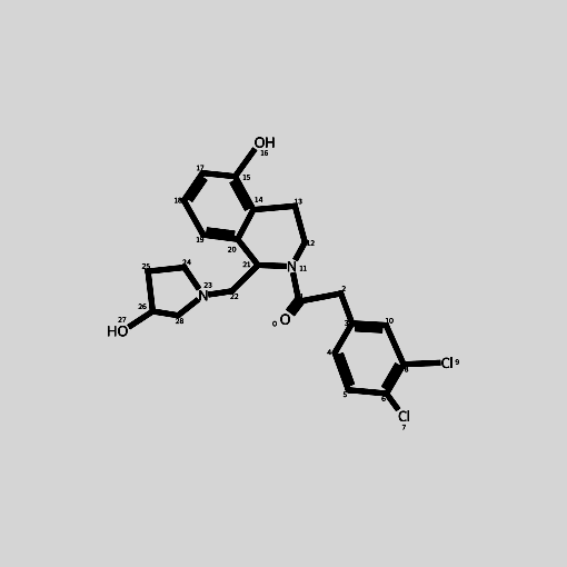 O=C(Cc1ccc(Cl)c(Cl)c1)N1CCc2c(O)cccc2C1CN1CCC(O)C1